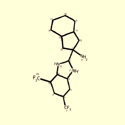 NC1(C2NC3CC(C(F)(F)F)CC(C(F)(F)F)C3N2)CC2CCCCC2C1